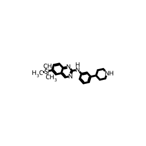 C[Si](C)(C)c1ccc2nc(Nc3cccc(C4CCNCC4)c3)ncc2c1